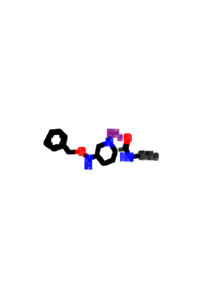 CONC(=O)[C@@H]1CC[C@@H](NOCc2ccccc2)CN1P